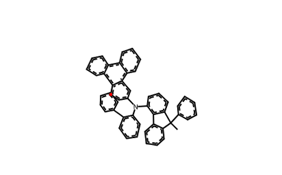 CC1(c2ccccc2)c2ccccc2-c2c(N(c3ccc4c5ccccc5c5ccccc5c4c3)c3ccccc3-c3ccccc3)cccc21